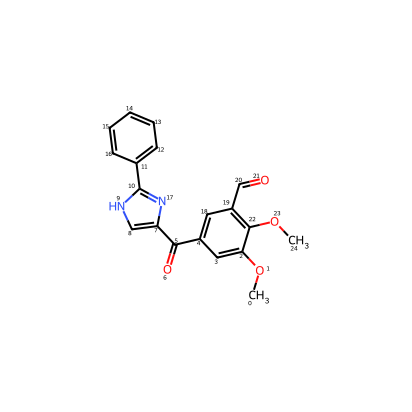 COc1cc(C(=O)c2c[nH]c(-c3ccccc3)n2)cc(C=O)c1OC